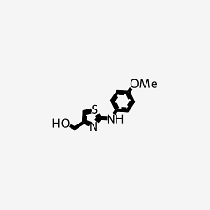 COc1ccc(Nc2nc(CO)cs2)cc1